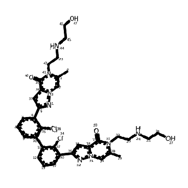 Cc1cn2nc(-c3cccc(-c4cccc(-c5cc6c(=O)n(CCNCCO)c(C)cn6n5)c4Cl)c3Cl)cc2c(=O)n1CCNCCO